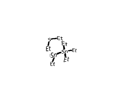 CCSCC.C[CH2][Sn][Sn]([CH2]C)([CH2]C)[CH2]C